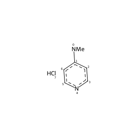 CNc1ccncc1.Cl